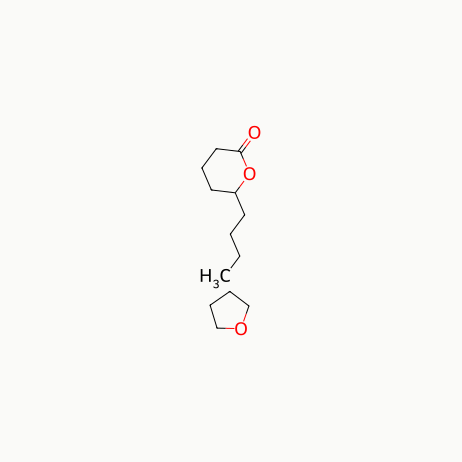 C1CCOC1.CCCCC1CCCC(=O)O1